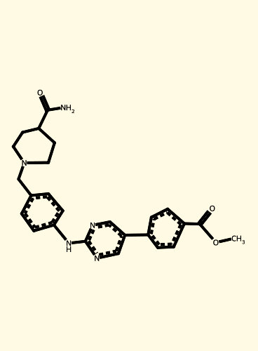 COC(=O)c1ccc(-c2cnc(Nc3ccc(CN4CCC(C(N)=O)CC4)cc3)nc2)cc1